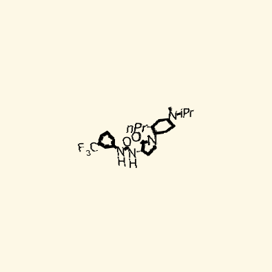 CCC[C@@H]1C[C@H](N(C)C(C)C)CC[C@@H]1N1CC[C@H](NC(=O)Nc2cccc(C(F)(F)F)c2)C1=O